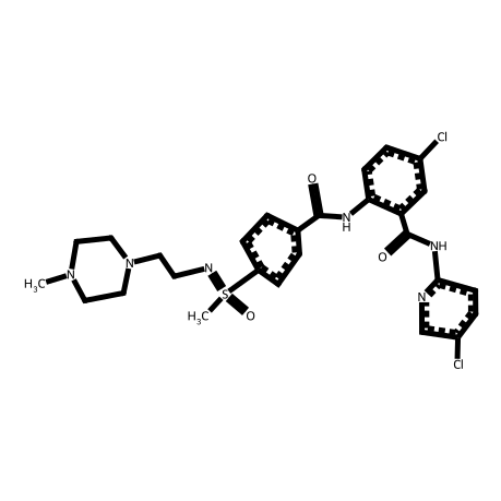 CN1CCN(CCN=S(C)(=O)c2ccc(C(=O)Nc3ccc(Cl)cc3C(=O)Nc3ccc(Cl)cn3)cc2)CC1